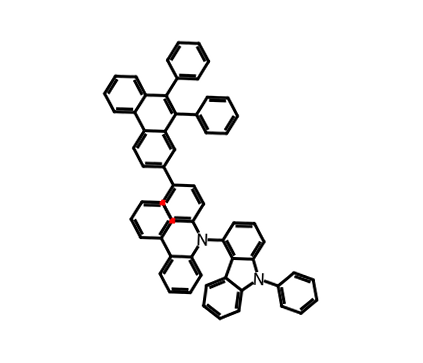 c1ccc(-c2ccccc2N(c2ccc(-c3ccc4c(c3)c(-c3ccccc3)c(-c3ccccc3)c3ccccc34)cc2)c2cccc3c2c2ccccc2n3-c2ccccc2)cc1